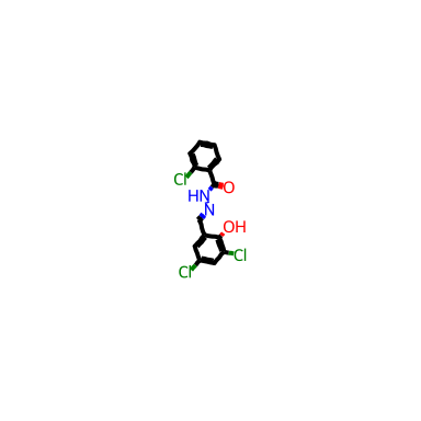 O=C(N/N=C/c1cc(Cl)cc(Cl)c1O)c1ccccc1Cl